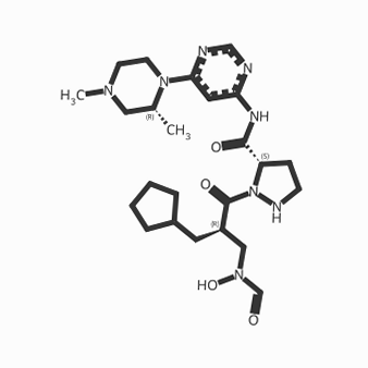 C[C@@H]1CN(C)CCN1c1cc(NC(=O)[C@@H]2CCNN2C(=O)[C@H](CC2CCCC2)CN(O)C=O)ncn1